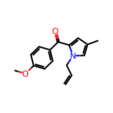 C=CCn1cc(C)cc1C(=O)c1ccc(OC)cc1